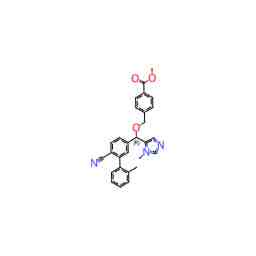 COC(=O)c1ccc(CO[C@H](c2ccc(C#N)c(-c3ccccc3C)c2)c2cncn2C)cc1